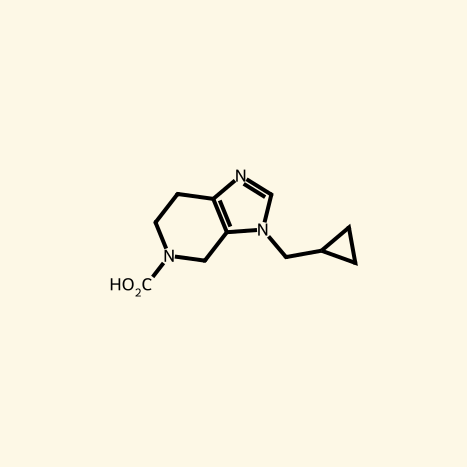 O=C(O)N1CCc2ncn(CC3CC3)c2C1